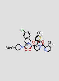 CCC[C@H]1N(C(=O)c2ncccc2C(F)(F)F)CCC[C@]1(Oc1csc(C(F)(F)F)c1)C(=O)N1Cc2ccc(Cl)cc2C[C@@H]1C(=O)N1CCC(OC)CC1